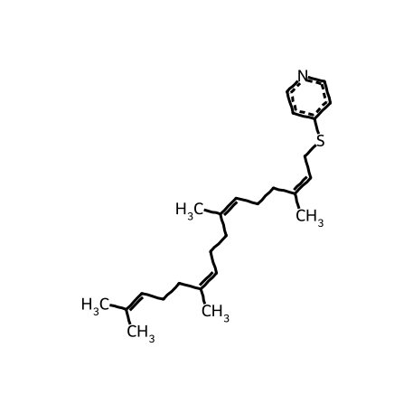 CC(C)=CCCC(C)=CCCC(C)=CCCC(C)=CCSc1ccncc1